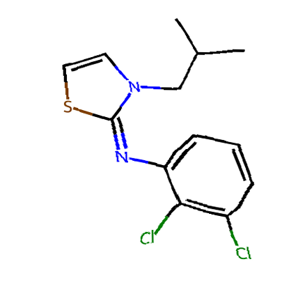 CC(C)Cn1ccsc1=Nc1cccc(Cl)c1Cl